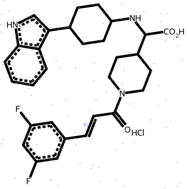 Cl.O=C(O)C(NC1CCC(c2c[nH]c3ccccc23)CC1)C1CCN(C(=O)/C=C/c2cc(F)cc(F)c2)CC1